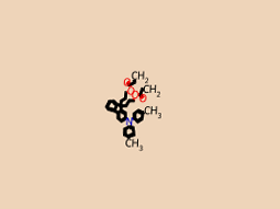 C=CC(=O)OCCCC1(CCCOC(=O)C=C)c2ccccc2-c2ccc(N(c3ccc(C)cc3)c3ccc(C)cc3)cc21